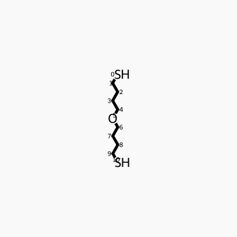 SCCCCOCCCCS